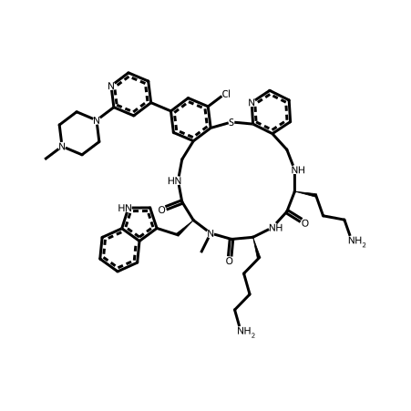 CN1CCN(c2cc(-c3cc(Cl)c4c(c3)CNC(=O)[C@H](Cc3c[nH]c5ccccc35)N(C)C(=O)[C@H](CCCCN)NC(=O)[C@H](CCCN)NCc3cccnc3S4)ccn2)CC1